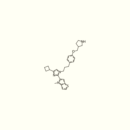 Cn1c(-c2nc(C3CCC3)cn2CCCc2ccc(OCC3CCNC3)cc2)cc2sccc21